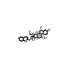 C[C@]12C=CC(=O)C=C1[C@@H](F)C[C@H]1[C@@H]3C[C@H]4CN(Cc5ccc6ccccc6n5)O[C@@]4(C(=O)SCF)[C@@]3(C)C[C@H](O)[C@@]12F